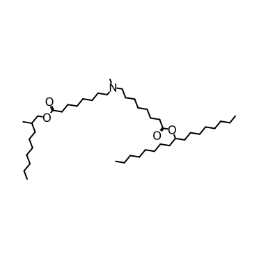 CCCCCCCCC(CCCCCCCC)OC(=O)CCCCCCCN(C)CCCCCCCC(=O)OCC(C)CCCCCCC